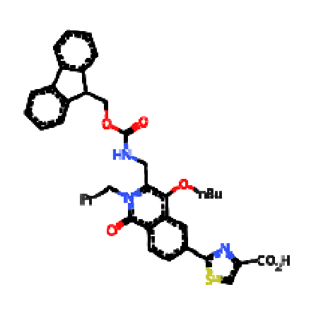 CCCCOc1c(CNC(=O)OCC2c3ccccc3-c3ccccc32)n(CC(C)C)c(=O)c2ccc(-c3nc(C(=O)O)cs3)cc12